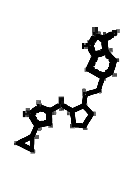 O=c1[nH][nH]c2cc(COC3CCCC3Nc3cc(C4CC4)[nH]n3)ccc12